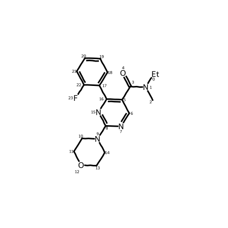 CCN(C)C(=O)c1cnc(N2CCOCC2)nc1-c1ccccc1F